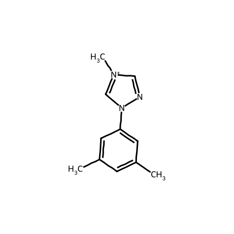 Cc1cc(C)cc(-n2c[n+](C)cn2)c1